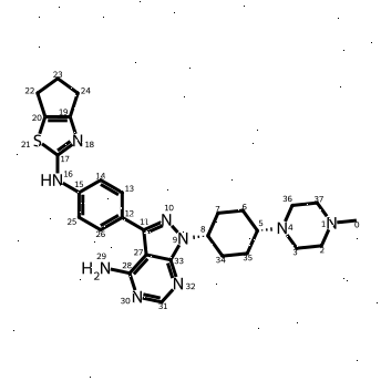 CN1CCN([C@H]2CC[C@@H](n3nc(-c4ccc(Nc5nc6c(s5)CCC6)cc4)c4c(N)ncnc43)CC2)CC1